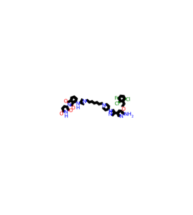 Nc1ncc(-c2cnn(C3CCN(CCCCCCCN4CC(Nc5cccc6c5C(=O)N([C@@H]5CCC(=O)NC5=O)C6=O)C4)CC3)c2)cc1OCCc1c(Cl)ccc(F)c1Cl